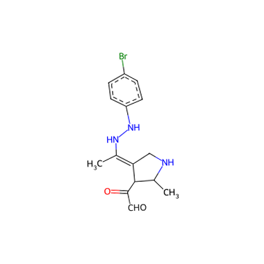 CC(NNc1ccc(Br)cc1)=C1CNC(C)C1C(=O)C=O